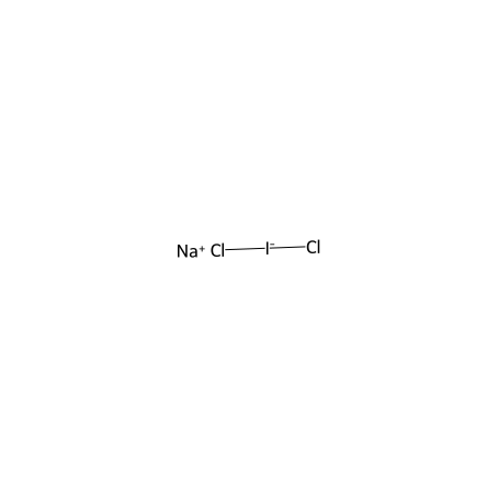 Cl[I-]Cl.[Na+]